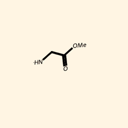 COC(=O)C[NH]